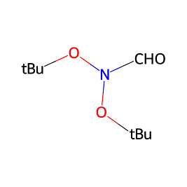 CC(C)(C)ON(C=O)OC(C)(C)C